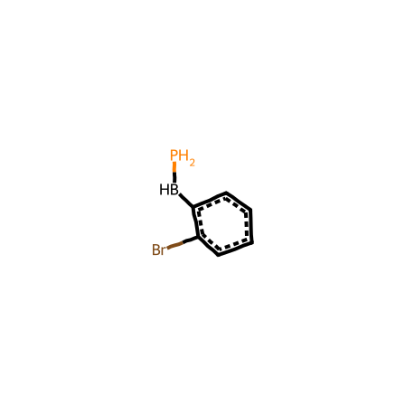 PBc1ccccc1Br